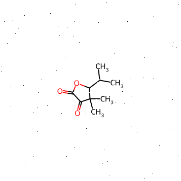 CC(C)C1OC(=O)C(=O)C1(C)C